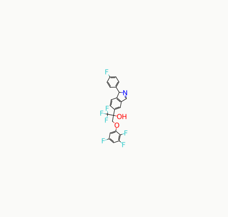 OC(COc1cc(F)cc(F)c1F)(c1ccc2c(c1)C=NC2c1ccc(F)cc1)C(F)(F)F